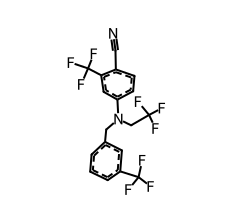 N#Cc1ccc(N(Cc2cccc(C(F)(F)F)c2)CC(F)(F)F)cc1C(F)(F)F